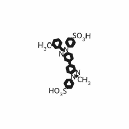 Cc1cccc(-c2nc3cc(-c4ccc5c(c4)nc(C)n5-c4ccc(S(=O)(=O)O)cc4)ccc3n2-c2ccc(S(=O)(=O)O)cc2)c1